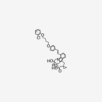 Cc1c(CC2(CC(=O)O)CC2)c2cccc(C=Cc3ccc(OCCCCOc4ccccc4Cl)cc3)c2n1CC(=O)O